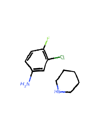 C1CCNCC1.Nc1ccc(F)c(Cl)c1